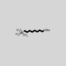 COCCCCCCCC[N+](C)(C)C